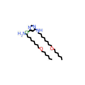 CCCCCCOCCCCCCCCN.CCCCCCOCCCCCCCCNc1cc(Cl)ncn1